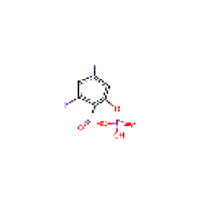 O=Ic1c(I)cc(I)cc1OP(=O)(O)O